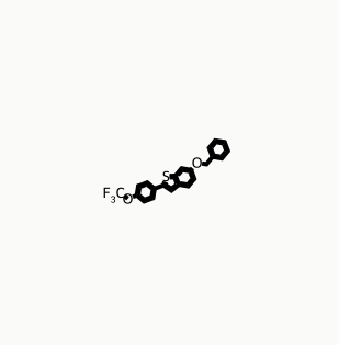 FC(F)(F)Oc1ccc(-c2cc3ccc(OCc4ccccc4)cc3s2)cc1